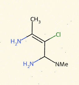 CNC(N)/C(Cl)=C(/C)N